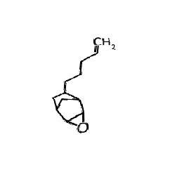 C=CCCCC1CC2CC1C1OC21